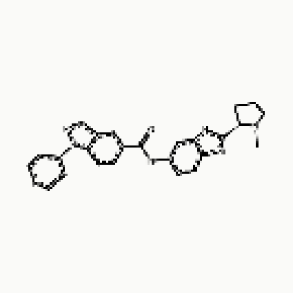 CN1CCC[C@@H]1c1nc2cc(NC(=O)c3ccc4c(cnn4-c4ccncc4)c3)ccc2[nH]1